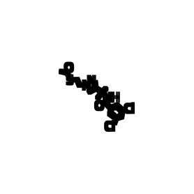 CC(=O)SCCn1cc(C(C)(C)NC(=O)c2cc(Cl)cc(Cl)c2)cn1